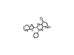 O=c1cc[nH]c2nc(-c3ccccc3)c(-c3nc4cccnc4s3)nc12